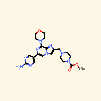 CC(C)(C)OC(=O)N1CCN(Cc2cn3cc(-c4cnc(N)nc4)nc(N4CCOCC4)c3n2)CC1